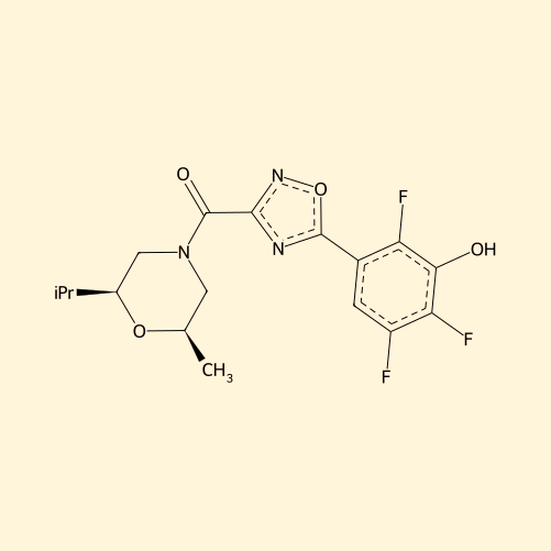 CC(C)[C@H]1CN(C(=O)c2noc(-c3cc(F)c(F)c(O)c3F)n2)C[C@@H](C)O1